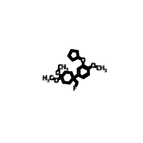 COc1ccc(C2(CF)CCC(OC)(OC)CC2)cc1OC1CCCC1